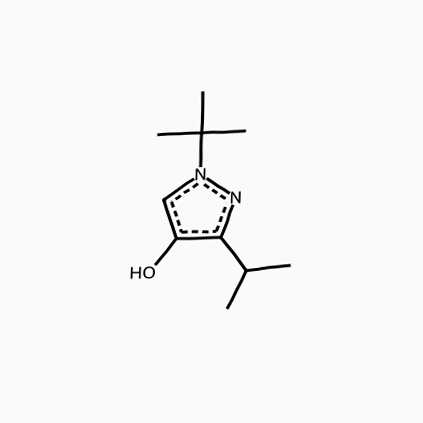 CC(C)c1nn(C(C)(C)C)cc1O